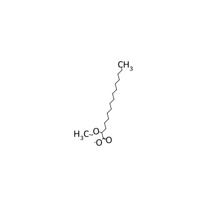 CCCCCCCCCCCCCCC(OCC)C([O])=O